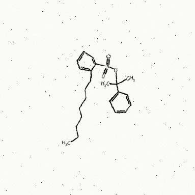 CCCCCCCCc1ccccc1S(=O)(=O)OC(C)(C)c1ccccc1